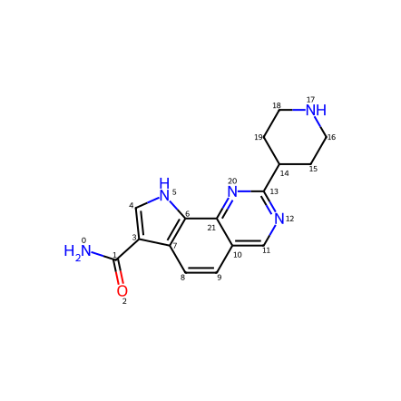 NC(=O)c1c[nH]c2c1ccc1cnc(C3CCNCC3)nc12